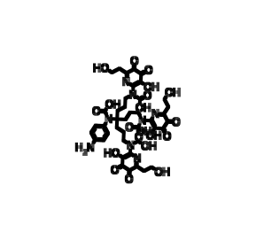 Nc1ccc(N(C(=O)O)C(CCCN(C(=O)O)C2=C(O)C(=O)C(=O)C(CCO)=N2)(CCCN(C(=O)O)C2=C(O)C(=O)C(=O)C(CCO)=N2)CCCN(C(=O)O)C2=C(O)C(=O)C(=O)C(CCO)=N2)cc1